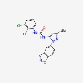 CC(C)(C)c1cc(NC(=O)Nc2cccc(Cl)c2Cl)n(-c2ccc3oncc3c2)n1